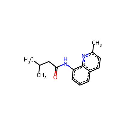 Cc1ccc2cccc(NC(=O)CC(C)C)c2n1